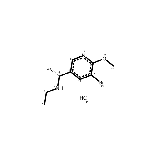 CCN[C@H](C)c1cnc(OC)c(Br)c1.Cl